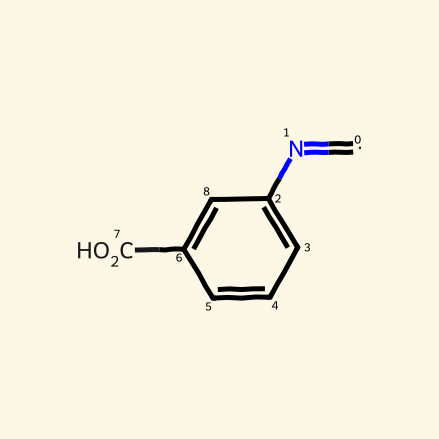 [CH]=Nc1cccc(C(=O)O)c1